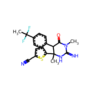 CN1C(=N)NC(C)(c2ccc(C#N)s2)C(c2ccc(C(C)(F)F)cc2)C1=O